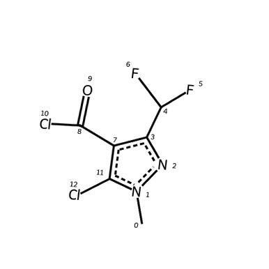 Cn1nc(C(F)F)c(C(=O)Cl)c1Cl